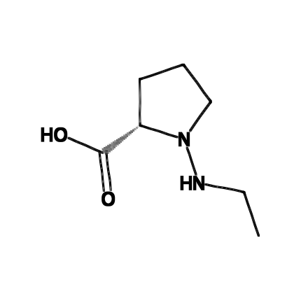 CCNN1CCC[C@H]1C(=O)O